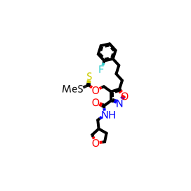 CSC(=S)OCc1c(C(=O)NCC2CCOC2)noc1CCCc1ccccc1F